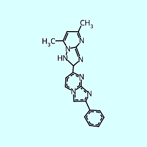 CC1=CC(C)=NC2=NC(c3ccn4cc(-c5ccccc5)nc4n3)NN12